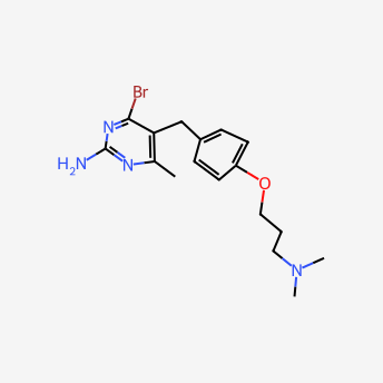 Cc1nc(N)nc(Br)c1Cc1ccc(OCCCN(C)C)cc1